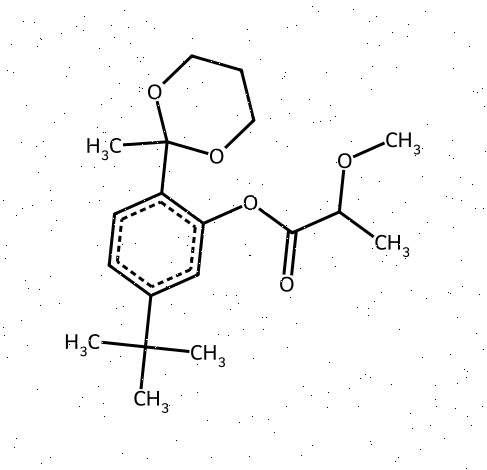 COC(C)C(=O)Oc1cc(C(C)(C)C)ccc1C1(C)OCCCO1